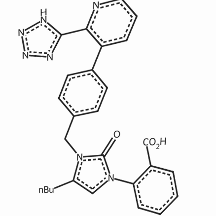 CCCCc1cn(-c2ccccc2C(=O)O)c(=O)n1Cc1ccc(-c2cccnc2-c2nnn[nH]2)cc1